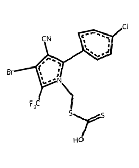 N#Cc1c(Br)c(C(F)(F)F)n(CSC(O)=S)c1-c1ccc(Cl)cc1